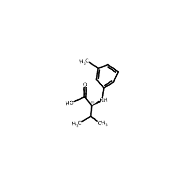 Cc1cccc(N[C@H](C(=O)O)C(C)C)c1